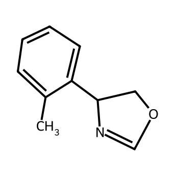 Cc1ccccc1C1COC=N1